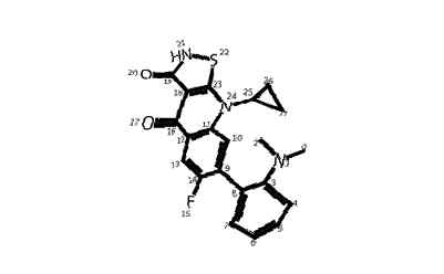 CN(C)c1ccccc1-c1cc2c(cc1F)c(=O)c1c(=O)[nH]sc1n2C1CC1